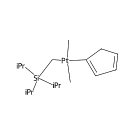 CC(C)[Si]([CH2][Pt]([CH3])([CH3])[C]1=CC=CC1)(C(C)C)C(C)C